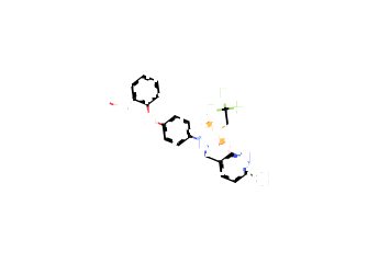 COc1ccccc1Oc1ccc(N(Cc2ccc(Cl)nc2)S(=O)(=O)CC(F)(F)F)cc1